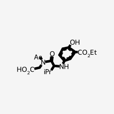 CCOC(=O)c1cc(NC(C(=O)N(CC(=O)O)C(C)=O)C(C)C)ccc1O